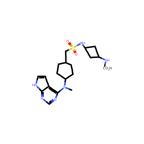 CN(c1ncnc2[nH]ccc12)C1CCC(CS(=O)(=O)NC2CC(NC(=O)O)C2)CC1